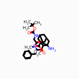 COC(=O)C12CC3CC(CC(N)(C3)C1C(=O)[C@H](Cc1ccccc1)N(C)C(=O)CNC(=O)OC(C)(C)C)C2